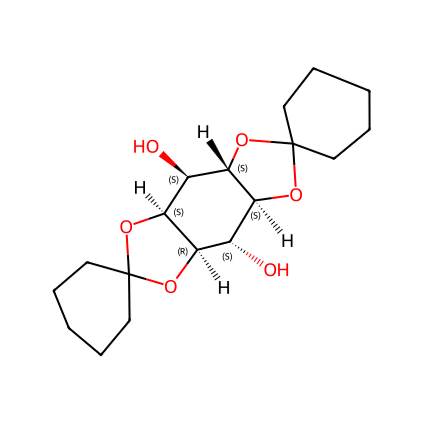 O[C@@H]1[C@H]2OC3(CCCCC3)O[C@H]2[C@@H](O)[C@@H]2OC3(CCCCC3)O[C@@H]12